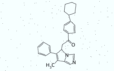 CC1=C(c2ccccc2)C(CC(=O)c2ccc(C3CCCCC3)cc2)n2cncc21